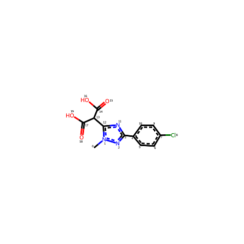 Cn1nc(-c2ccc(Cl)cc2)nc1C(C(=O)O)C(=O)O